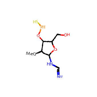 COC1C(NC=N)OC(CO)C1OPS